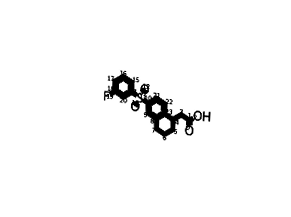 O=C(O)CC1CCCc2cc(S(=O)(=O)c3cccc(F)c3)ccc21